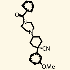 COc1cccc([C@]2(C#N)CC[C@@H](N3CCN(C(=O)c4ccccc4)CC3)CC2)c1